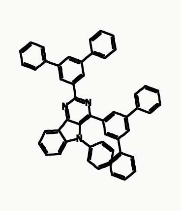 c1ccc(-c2cc(-c3ccccc3)cc(-c3nc(-c4cc(-c5ccccc5)cc(-c5ccccc5)c4)c4c(n3)c3ccccc3n4-c3ccccc3)c2)cc1